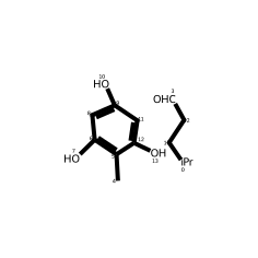 CC(C)CCC=O.Cc1c(O)cc(O)cc1O